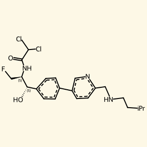 CC(C)CCNCc1ccc(-c2ccc([C@H](O)[C@@H](CF)NC(=O)C(Cl)Cl)cc2)cn1